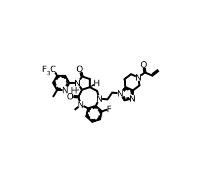 C=CC(=O)N1CCc2c(ncn2CCN2C[C@H]3CC(=O)N(c4cc(C(F)(F)F)cc(C)n4)[C@@H]3C(=O)N(C)c3cccc(F)c32)C1